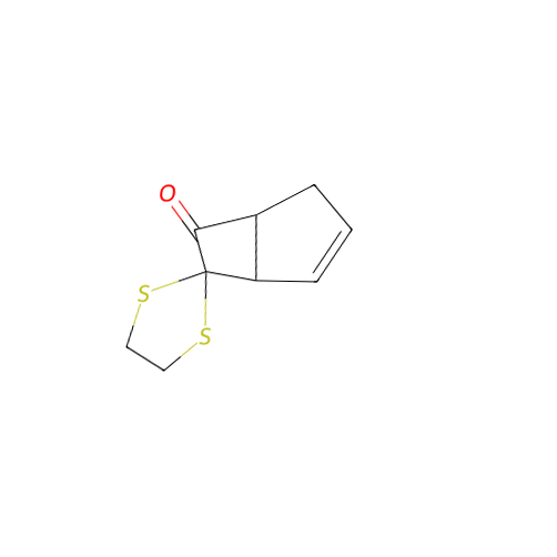 O=C1C2CC=CC2C12SCCS2